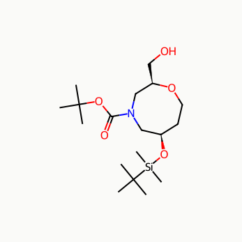 CC(C)(C)OC(=O)N1C[C@@H](CO)OCC[C@@H](O[Si](C)(C)C(C)(C)C)C1